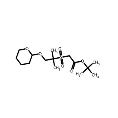 CC(C)(C)OC(=O)CS(=O)(=O)C(C)(C)COC1CCCCO1